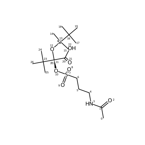 CC(=O)NCCCS(=O)(=O)O[C@@](O[Si](C)(C)C(C)(C)C)(C(=O)O)C(C)(C)C